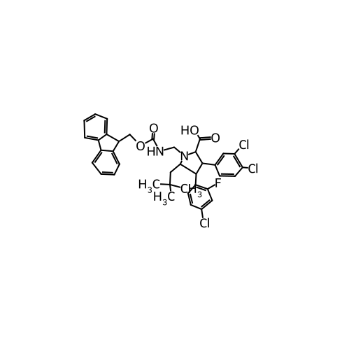 CC(C)(C)CC1C(c2ccc(Cl)cc2F)C(c2ccc(Cl)c(Cl)c2)C(C(=O)O)N1CNC(=O)OCC1c2ccccc2-c2ccccc21